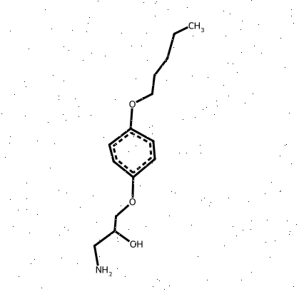 CCCCCOc1ccc(OCC(O)CN)cc1